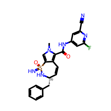 Cn1cc2c(c1C(=O)Nc1cc(F)nc(C#N)c1)C=C[C@H](Cc1ccccc1)NS2(=N)=O